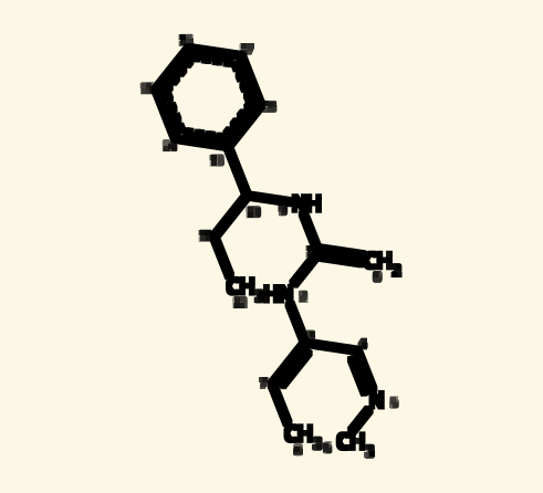 C=C(NC(/C=N\C)=C/C)NC(CC)c1ccccc1